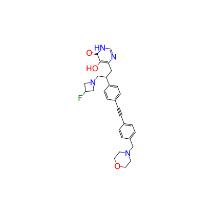 O=c1[nH]cnc(CC(CN2CC(F)C2)c2ccc(C#Cc3ccc(CN4CCOCC4)cc3)cc2)c1O